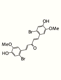 COc1cc(/C=C/C(=O)/C=C/c2cc(OC)c(O)cc2Br)c(Br)cc1O